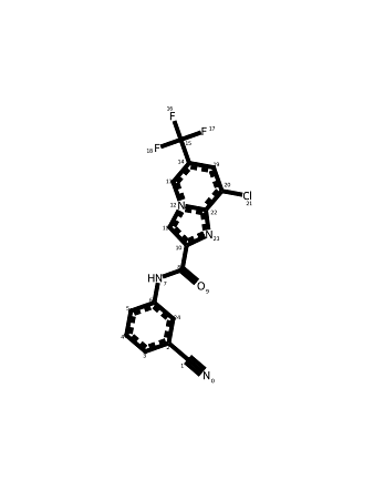 N#Cc1cccc(NC(=O)c2cn3cc(C(F)(F)F)cc(Cl)c3n2)c1